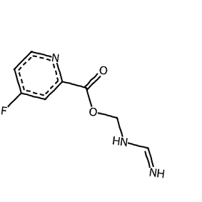 N=CNCOC(=O)c1cc(F)ccn1